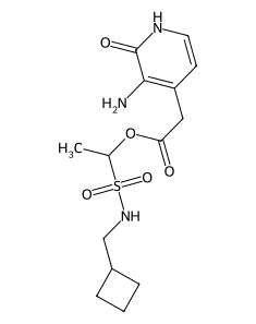 CC(OC(=O)Cc1cc[nH]c(=O)c1N)S(=O)(=O)NCC1CCC1